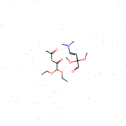 CCOC(OCC)C(=O)CC(C)=O.COC(C=O)(C=CN(C)C)OC